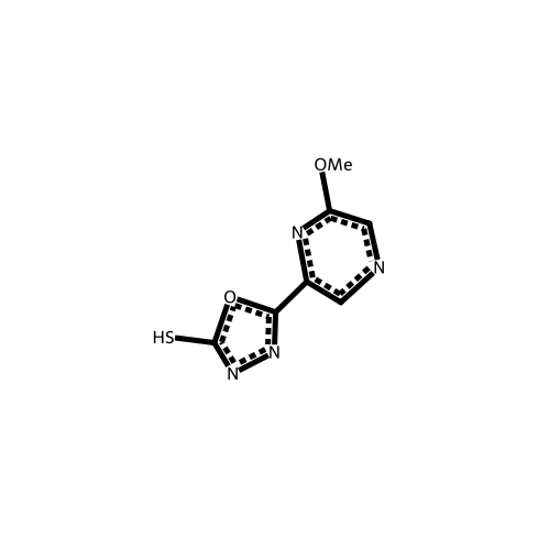 COc1cncc(-c2nnc(S)o2)n1